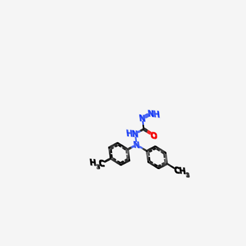 Cc1ccc(N(NC(=O)N=N)c2ccc(C)cc2)cc1